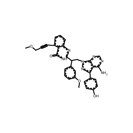 COCC#Cc1cccc2nc(C(Cn3nc(-c4ccc(O)cc4)c4c(N)ncnc43)c3cccc(OC)c3)[nH]c(=O)c12